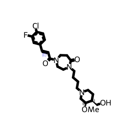 CO[C@H]1CN(CCCCN2CCN(C(=O)/C=C/c3ccc(Cl)c(F)c3)CCC2=O)CC[C@H]1CO